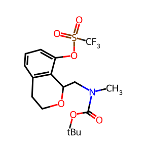 CN(CC1OCCc2cccc(OS(=O)(=O)C(F)(F)F)c21)C(=O)OC(C)(C)C